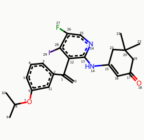 C=C(c1cccc(OC(C)C)c1)c1c(NC2=CC(=O)CC(C)(C)C2)ncc(F)c1I